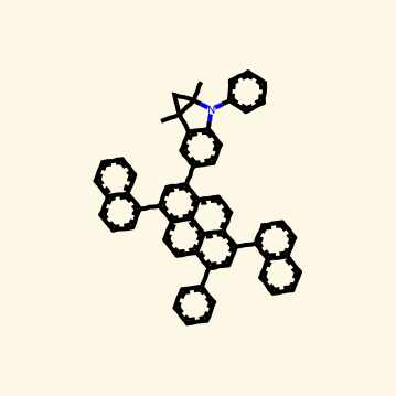 CC12CC1(C)N(c1ccccc1)c1ccc(-c3cc(-c4cccc5ccccc45)c4ccc5c(-c6ccccc6)cc(-c6cccc7ccccc67)c6ccc3c4c56)cc12